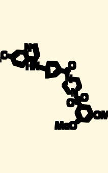 COc1cc(OC)cc(S(=O)(=O)N2CCN(C(=O)c3ccc(Nc4ccnc5cc(C(F)(F)F)ccc45)cc3)CC2)c1